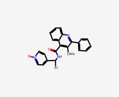 CCC(NC(=O)c1c(OC)c(-c2ccccc2)nc2ccccc12)c1cc[n+]([O-])cc1